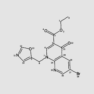 CCOC(=O)c1cn(Cc2cnco2)c2ncc(Br)cc2c1=O